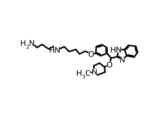 CN1CCC(OC(c2cccc(OCCCCCNCCCCN)c2)c2nc3ccccc3[nH]2)CC1